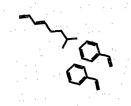 C=CC=CCCC(C)C.C=Cc1ccccc1.C=Cc1ccccc1